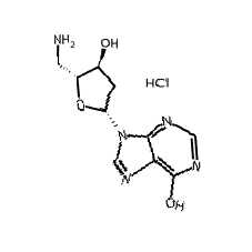 Cl.NC[C@H]1O[C@@H](n2cnc3c(O)ncnc32)C[C@@H]1O